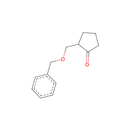 O=C1CCCC1COCc1ccccc1